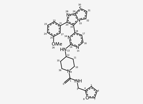 C=C(NCc1ccco1)N1CCC(Nc2nccc(-c3c(-c4cccc(OC)c4)nc4sccn34)n2)CC1